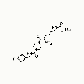 CC(C)(C)OC(=O)NCCCCC(N)C(=O)N1CCN(C(=O)NCc2ccc(F)cc2)CC1